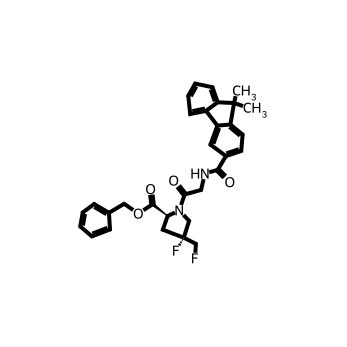 CC1(C)c2ccccc2-c2cc(C(=O)NCC(=O)N3C[C@@](F)(CF)C[C@H]3C(=O)OCc3ccccc3)ccc21